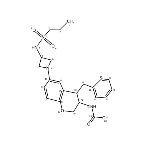 CCCS(=O)(=O)NC1CN(c2ccc3c(c2)C(Cc2ccccc2)C(NC(=O)O)CO3)C1